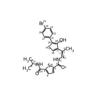 C/C(=N/NC(=O)c1ccc(C(=O)NC(C)C)s1)c1csc(-c2ccc(Br)cc2)c1O